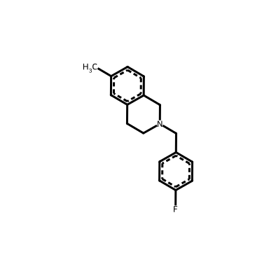 Cc1ccc2c(c1)CCN(Cc1ccc(F)cc1)C2